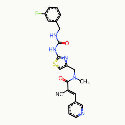 CN(Cc1csc(NC(=O)NCc2cccc(F)c2)n1)C(=O)C(C#N)=Cc1cccnc1